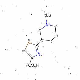 CC(C)(C)N1CCCC(c2nc(C(=O)O)cs2)C1